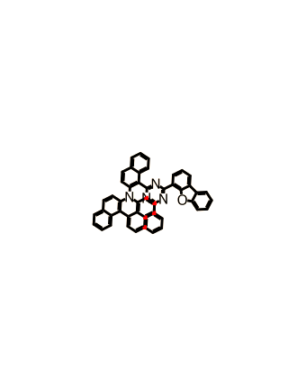 c1ccc(-c2nc(-c3c(N4c5ccc6ccccc6c5-c5cccc6cccc4c56)ccc4ccccc34)nc(-c3cccc4c3oc3ccccc34)n2)cc1